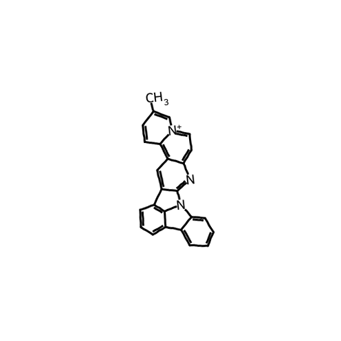 Cc1ccc2c3cc4c5cccc6c7ccccc7n(c4nc3cc[n+]2c1)c65